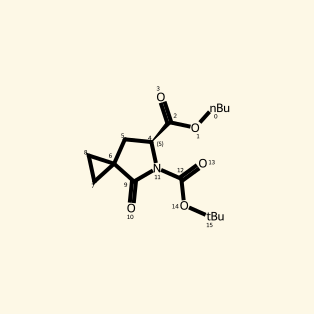 CCCCOC(=O)[C@@H]1CC2(CC2)C(=O)N1C(=O)OC(C)(C)C